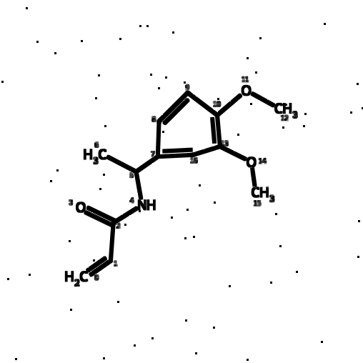 C=CC(=O)NC(C)c1ccc(OC)c(OC)c1